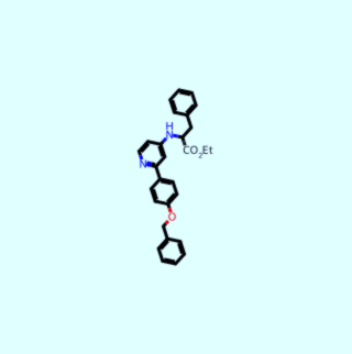 CCOC(=O)C(Cc1ccccc1)Nc1ccnc(-c2ccc(OCc3ccccc3)cc2)c1